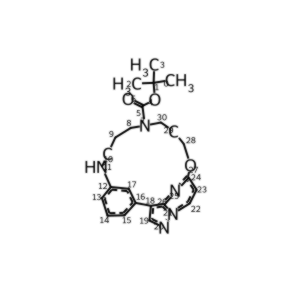 CC(C)(C)OC(=O)N1CCCNc2cccc(c2)-c2cnn3ccc(nc23)OCCC1